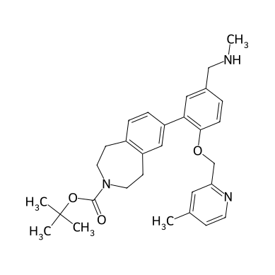 CNCc1ccc(OCc2cc(C)ccn2)c(-c2ccc3c(c2)CCN(C(=O)OC(C)(C)C)CC3)c1